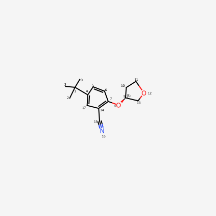 CC(C)(C)c1ccc(O[C@H]2CCOC2)c(C#N)c1